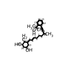 C=C1C(=CC=CCCCC(C)C#Cc2ccccc2C(C)(C)O)C[C@@H](O)C[C@@H]1O